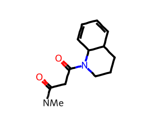 CNC(=O)CC(=O)N1CCCC2C=CC=CC21